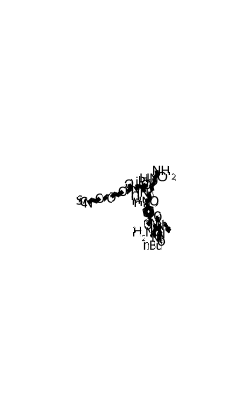 C#CCn1c(=O)n(C(=O)c2ccc(NC(=O)[C@H](CCCNC(N)=O)NC(=O)[C@@H](NC(=O)COCCOCCOCCN=C=S)C(C)C)cc2)c2c(N)nc(OCCCC)nc21